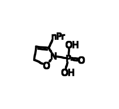 CCCC1=CCON1P(=O)(O)O